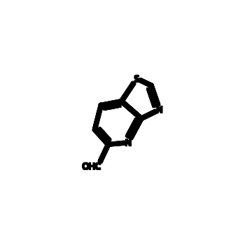 O=Cc1ccc2scnc2n1